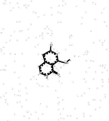 CNc1nc(Cl)cc2cn[nH]c(=O)c12